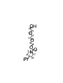 CC(C)C1CCN(C(=O)OCCOCCOCCO)CC1